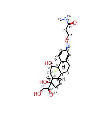 C[C@@H]1C[C@H]2[C@@H]3CCC4=C/C(=N/OCCC(=O)N(C)C)C=C[C@]4(C)[C@@]3(F)[C@@H](O)C[C@]2(C)[C@@]1(O)C(=O)CO